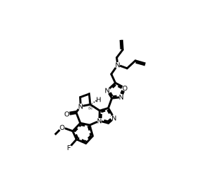 C=CCN(CC=C)Cc1nc(-c2ncn3c2[C@@H]2CCN2C(=O)c2c-3ccc(F)c2OC)no1